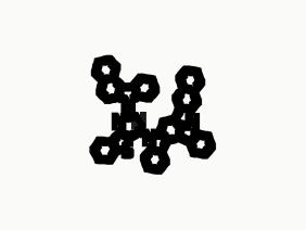 c1ccc2cc3c(cc2c1)c1cc2c(c4ccccc4n2-c2nc(-n4c5ccccc5c5c6ccccc6ccc54)nc4c2sc2ccccc24)c2c4ccccc4n3c12